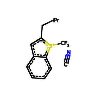 CC(C)Cc1cc2ccccc2[s+]1C(F)(F)F.[C-]#N